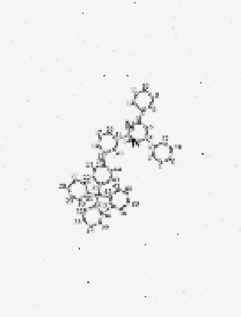 c1ccc(-c2cc(-c3ccccc3)nc(-c3cccc(-c4ccc(C5(c6ccccc6)c6ccccc6-c6ccccc65)cc4)c3)n2)cc1